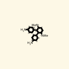 CNc1ccc(NC)c(-c2ccc(N)cc2)c1-c1ccc(N)cc1